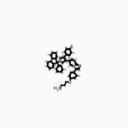 NCCCOc1ccc(-c2cnc3ccc(-c4cn(C(c5ccccc5)(c5ccccc5)c5ccccc5)nc4-c4ccc(F)cc4)cn23)cc1